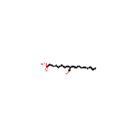 CCCCCCC/C=C/C(CO)CCCCCCCC(=O)O